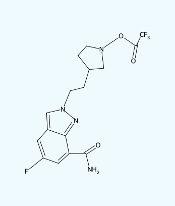 NC(=O)c1cc(F)cc2cn(CCC3CCN(OC(=O)C(F)(F)F)C3)nc12